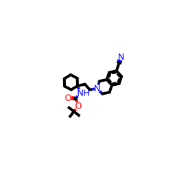 CC(C)(C)OC(=O)NC1(CCN2CCc3ccc(C#N)cc3C2)CCCCC1